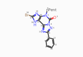 CCCCCn1c(=O)n2nc(-c3ccccc3)nc2c2[nH]c(Br)nc21